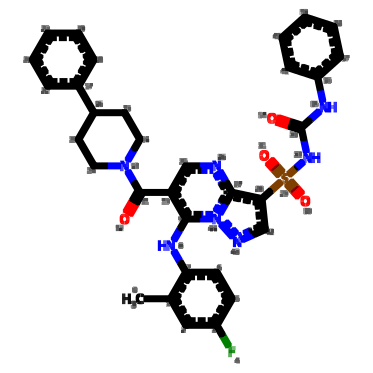 Cc1cc(F)ccc1Nc1c(C(=O)N2CCC(c3ccccc3)CC2)cnc2c(S(=O)(=O)NC(=O)Nc3ccccc3)cnn12